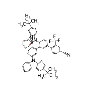 CC(C)(C)c1ccc2c(c1)c1ccccc1n2-c1ccc(C#N)c(-c2cc(-c3ccc(C#N)cc3C(F)(F)F)ccc2-n2c3ccccc3c3cc(C(C)(C)C)ccc32)c1